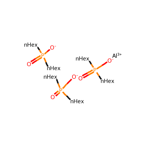 CCCCCCP(=O)([O-])CCCCCC.CCCCCCP(=O)([O-])CCCCCC.CCCCCCP(=O)([O-])CCCCCC.[Al+3]